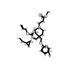 C=CCOC(=O)N(CC1(COc2ccc(F)cn2)CCN(CCC(=O)OC)CC1)[C@@H]1CC1CC